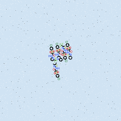 CC(C)(C(=O)Nc1cccc(C(F)(F)F)n1)S(=O)(=O)c1ccc(Cl)cc1.CC(C)(C(=O)Nc1cnc2ccccc2c1)S(=O)(=O)c1ccc(Cl)cc1.CC(C)(C(=O)Nc1nc(C(F)(F)F)cs1)S(=O)(=O)c1ccc(Cl)cc1.CC(C)(C(=O)Nc1nc2c(s1)CCCC2)S(=O)(=O)c1ccc(Cl)cc1.Cc1nc(NC(=O)C(C)(C)S(=O)(=O)c2ccc(Cl)cc2)sc1C